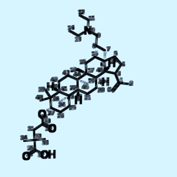 C=C(C)C1CC[C@]2(CCCN(CC)CC)CC[C@]3(C)[C@H](CC[C@@H]4[C@@]5(C)CC[C@H](OC(=O)CC(C)(C)C(=O)O)C(C)(C)[C@@H]5CC[C@]43C)[C@@H]12